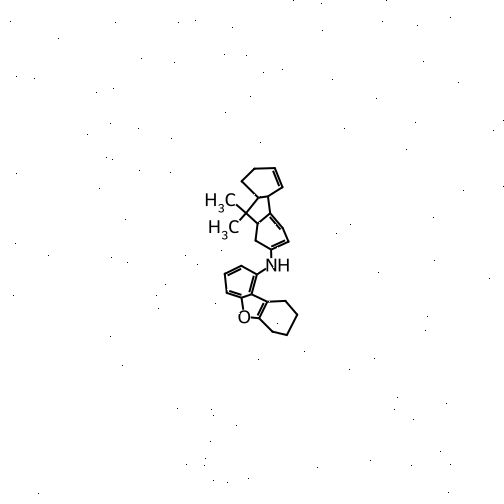 CC1(C)C2CC(Nc3cccc4oc5c(c34)CCCC5)=CC=C2C2C=CCCC21